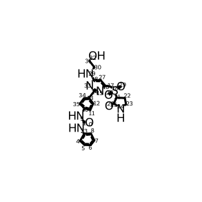 O=C(Nc1ccccc1)Nc1ccc(-c2nc(CS(=O)(=O)C3CCNC3=O)cc(NCCO)n2)cc1